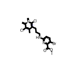 C=N/C(Cl)=C(CCCNc1ccc(Br)c(C(=O)OI)n1)\C(C)=C(\Cl)C(=C)C